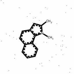 Cc1cc2ccc3ccccc3c2n1C